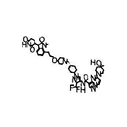 CN1C(=O)C(C2CCC(=O)NC2=O)c2cccc(CCCOC3CCN(C[C@H]4CC[C@H](n5cc(NC(=O)c6cnn7ccc(N8CCC(C)(O)CC8)nc67)c(C(F)F)n5)CC4)CC3)c21